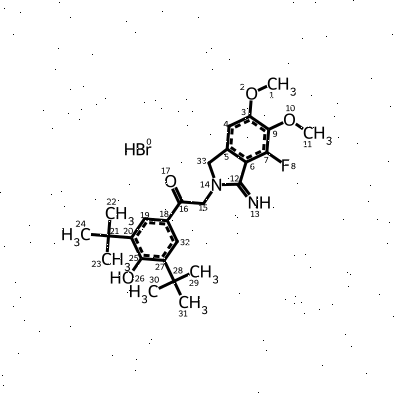 Br.COc1cc2c(c(F)c1OC)C(=N)N(CC(=O)c1cc(C(C)(C)C)c(O)c(C(C)(C)C)c1)C2